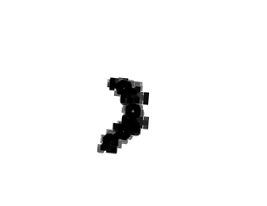 Cc1ccc(-c2ccc(S(=O)(=O)N[C@H]3CC[C@H](C(=O)N[C@H](C)c4ccc(F)cc4)CC3)cn2)cn1